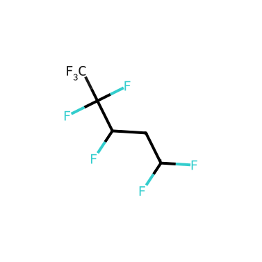 F[C](F)CC(F)C(F)(F)C(F)(F)F